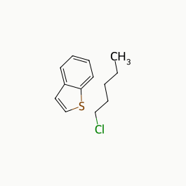 CCCCCCl.c1ccc2sccc2c1